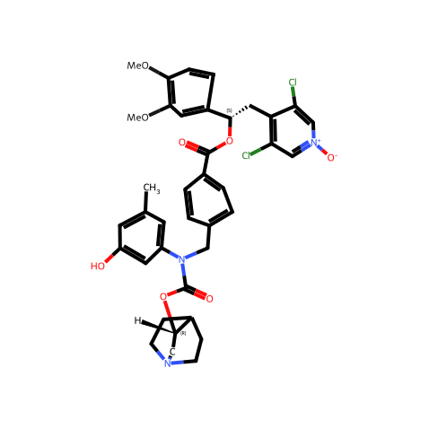 COc1ccc([C@H](Cc2c(Cl)c[n+]([O-])cc2Cl)OC(=O)c2ccc(CN(C(=O)O[C@H]3CN4CCC3CC4)c3cc(C)cc(O)c3)cc2)cc1OC